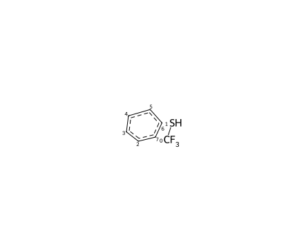 FC(F)(F)S.c1ccccc1